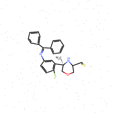 C[C@@]1(c2cc(N=C(c3ccccc3)c3ccccc3)ccc2F)COCC(C=S)N1